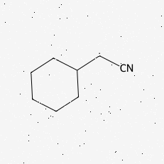 N#C[CH]C1CCCCC1